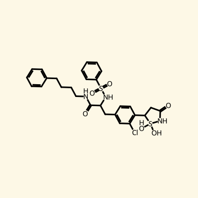 O=C1CC(c2ccc(CC(NS(=O)(=O)c3ccccc3)C(=O)NCCCCc3ccccc3)cc2Cl)S(O)(O)N1